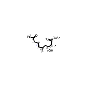 COC(=O)[C@H](C)[C@H](O)C[C@@H](C)/C=C/CC(=O)C(C)C